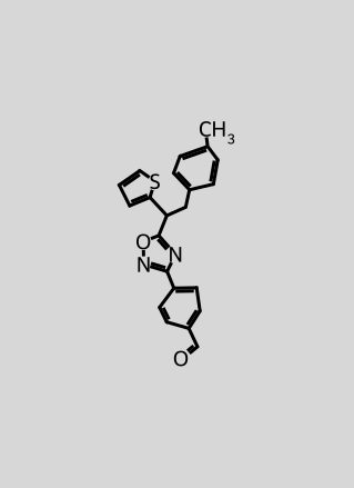 Cc1ccc(CC(c2nc(-c3ccc(C=O)cc3)no2)c2cccs2)cc1